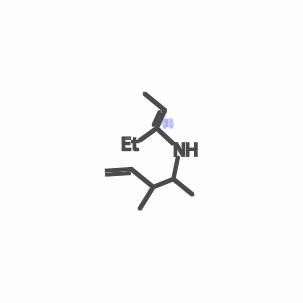 C=CC(C)C(C)N/C(=C/C)CC